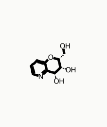 OC[C@H]1Oc2cccnc2[C@@H](O)[C@H]1O